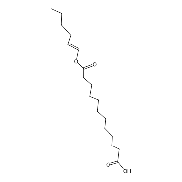 CCCCC=COC(=O)CCCCCCCCCCC(=O)O